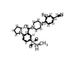 CNS(=O)(=O)c1ccc(N2CCCC2)c(C(=O)N2CCN(c3ccc(C#N)cc3F)CC2)c1